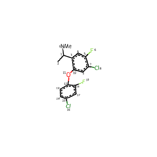 CNC(C)c1cc(F)c(Cl)cc1Oc1ccc(Cl)cc1F